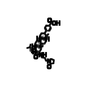 CC(C)[C@@H]1CC[C@]2(C(=O)NCCCN3CCCC3=O)CC[C@]3(C)[C@H](CC[C@@H]4[C@@]5(C)CC=C(c6ccc(C(=O)O)cc6)C(C)(C)[C@@H]5CC[C@]43C)[C@@H]12